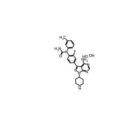 Cc1cccc(N(C(N)=O)c2ccc(-c3nn(C4CCNCC4)c4ncnc(N)c34)cc2F)c1.Cl.Cl